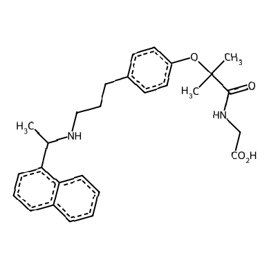 CC(NCCCc1ccc(OC(C)(C)C(=O)NCC(=O)O)cc1)c1cccc2ccccc12